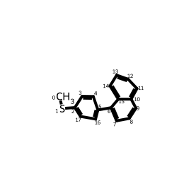 CSc1ccc(-c2cccc3ccccc23)cc1